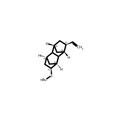 C=C[C@@H]1C[C@@H]2C[C@H]1C1C2[C@@H]2C[C@H](SCCCC)[C@H]1C2